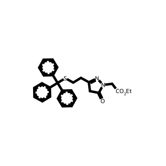 CCOC(=O)CN1N=C(CCSC(c2ccccc2)(c2ccccc2)c2ccccc2)CC1=O